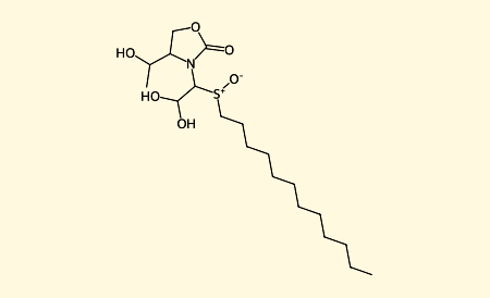 CCCCCCCCCCCC[S+]([O-])C(C(O)O)N1C(=O)OCC1C(C)O